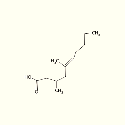 CCCC/C=C(\C)CC(C)CC(=O)O